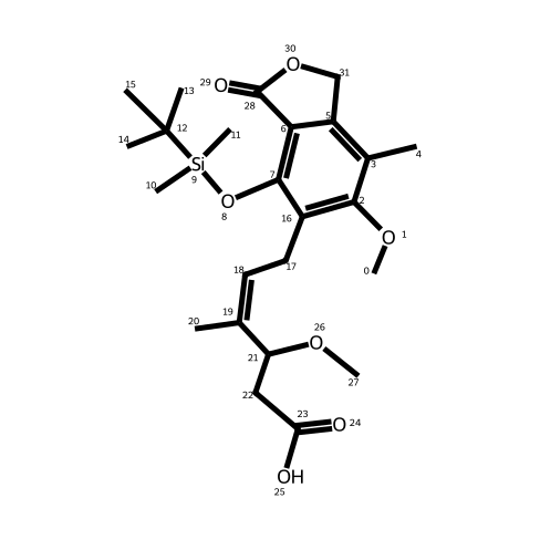 COc1c(C)c2c(c(O[Si](C)(C)C(C)(C)C)c1CC=C(C)C(CC(=O)O)OC)C(=O)OC2